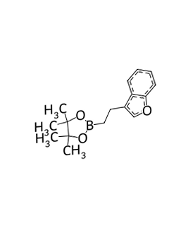 CC1(C)OB(CCc2coc3ccccc23)OC1(C)C